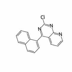 Clc1nc(-c2cccc3ccccc23)c2cccnc2n1